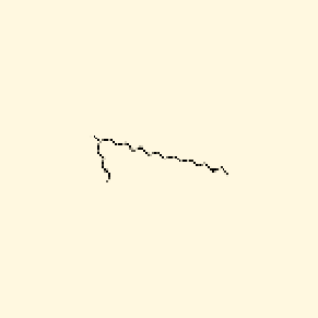 [CH2]C(CCCCC)CCCCCCCCCCCCCCCC